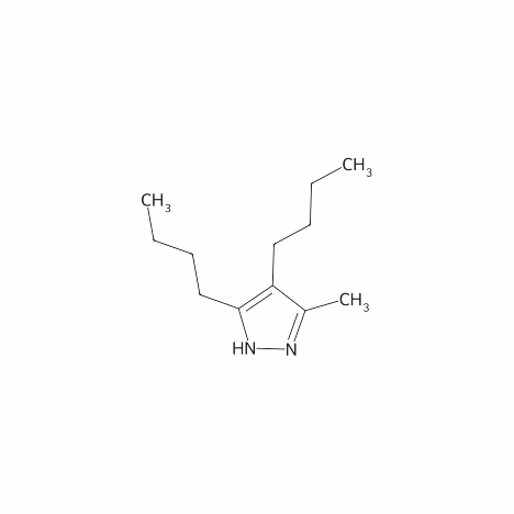 CCCCc1[nH]nc(C)c1CCCC